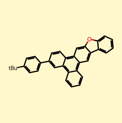 CC(C)(C)c1ccc(-c2ccc3c(c2)c2ccccc2c2cc4c(cc32)oc2ccccc24)cc1